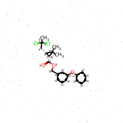 CC(Cl)(Cl)C[C@H]1[C@@H](C(=O)OCc2cccc(Oc3ccccc3)c2)C1(C)C